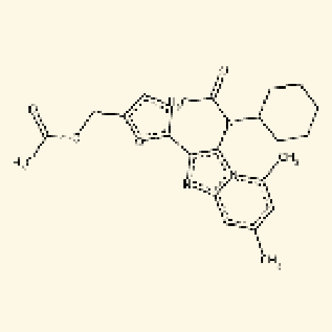 CC(=O)OCc1ccc(-c2nc3cc(C)cc(C)n3c2N(C(C)=O)C2CCCCC2)o1